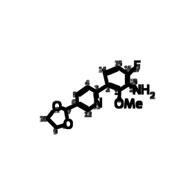 COc1c(-c2ccc(C3OCCO3)cn2)ccc(F)c1N